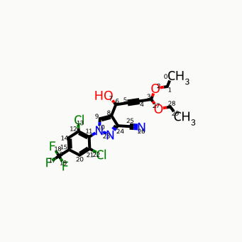 CCOC(C#CC(O)c1cn(-c2c(Cl)cc(C(F)(F)F)cc2Cl)nc1C#N)OCC